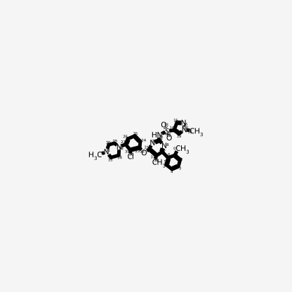 Cc1ccccc1-c1nc(NS(=O)(=O)c2cnn(C)c2)nc(Oc2cccc(N3CCN(C)CC3)c2Cl)c1C